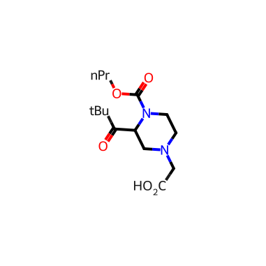 CCCOC(=O)N1CCN(CC(=O)O)CC1C(=O)C(C)(C)C